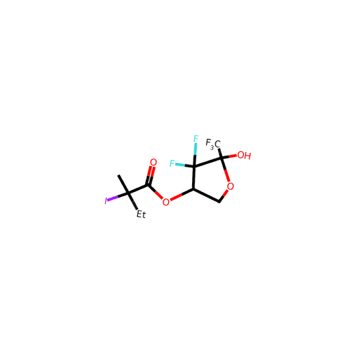 CCC(C)(I)C(=O)OC1COC(O)(C(F)(F)F)C1(F)F